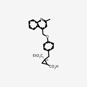 CCOC(=O)[C@@]1(Cc2ccc(OCc3cc(C)nc4ccccc34)cc2)CC1C(=O)O